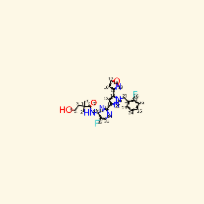 CC(C)(CCO)C(=O)Nc1nc(-c2cc(-c3ccon3)n(Cc3ccccc3F)n2)ncc1F